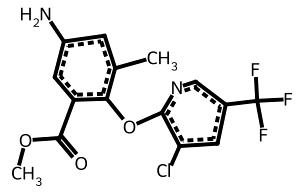 COC(=O)c1cc(N)cc(C)c1Oc1ncc(C(F)(F)F)cc1Cl